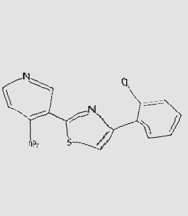 CCCc1ccncc1-c1nc(-c2ccccc2Cl)cs1